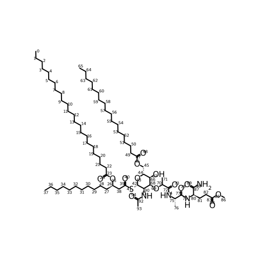 CCCCCCCCCCCCCCCCCCCCCCCC(=O)O[C@H](CCCCCCCCCCC)CC(=O)S[C@@H]1O[C@H](COC(=O)CCCCCCCCCCCCCCCCC)[C@@H](O)[C@@H](OC(C)C(=O)N[C@@H](C)C(=O)N[C@H](CCC(=O)OC)C(N)=O)[C@H]1NC(C)=O